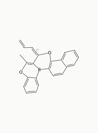 C=C/C=C1/Oc2c(ccc3ccccc23)B2C1=C(C)Oc1ccccc12